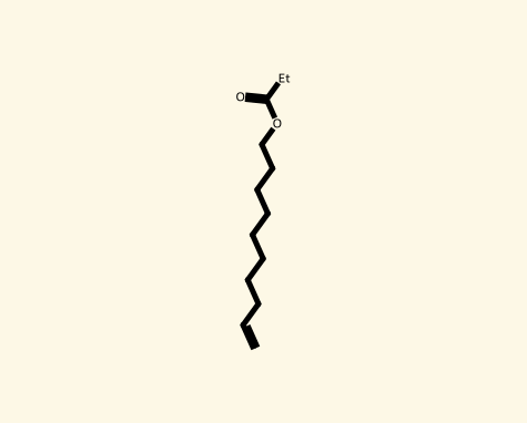 C=CCCCCCCCCOC(=O)CC